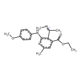 CCOC(=O)c1cc(C)nc(Nc2ccc(OC)cc2)c1/C(C)=N\C